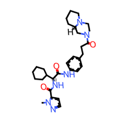 Cn1nccc1C(=O)N[C@H](C(=O)Nc1ccc(CCC(=O)N2CCN3CCCC[C@H]3C2)cc1)C1CCCCC1